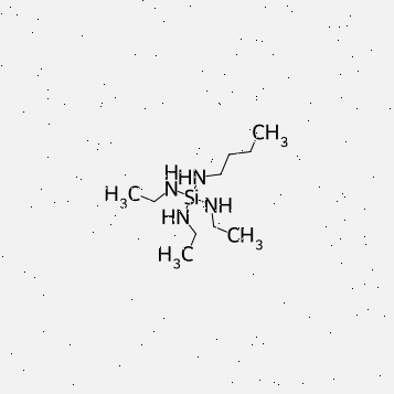 CCCCN[Si](NCC)(NCC)NCC